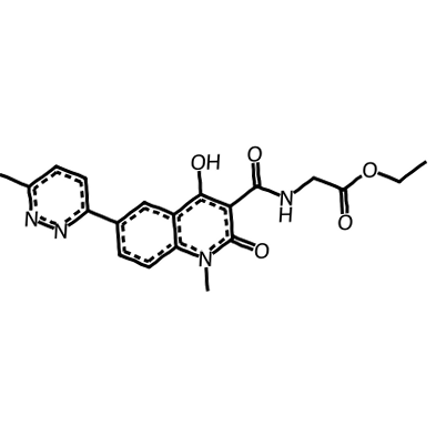 CCOC(=O)CNC(=O)c1c(O)c2cc(-c3ccc(C)nn3)ccc2n(C)c1=O